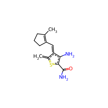 C=c1sc(C(N)=O)c(N)/c1=C/C1=C(C)CCC1